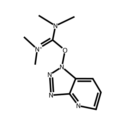 CN(C)C(On1nnc2ncccc21)=[N+](C)C